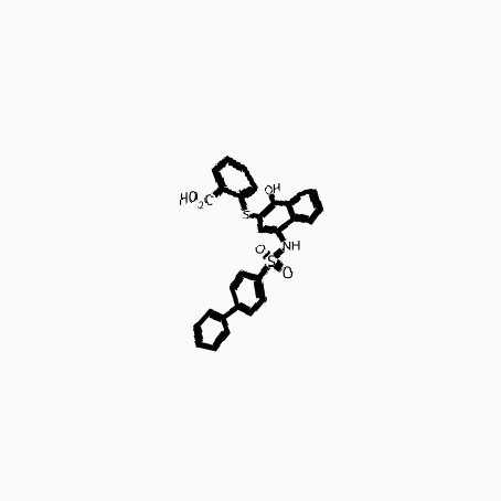 O=C(O)c1ccccc1Sc1cc(NS(=O)(=O)c2ccc(-c3ccccc3)cc2)c2ccccc2c1O